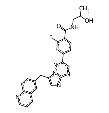 CC(O)CNC(=O)c1ccc(-c2cnc3ncc(Cc4ccc5ncccc5c4)n3n2)cc1F